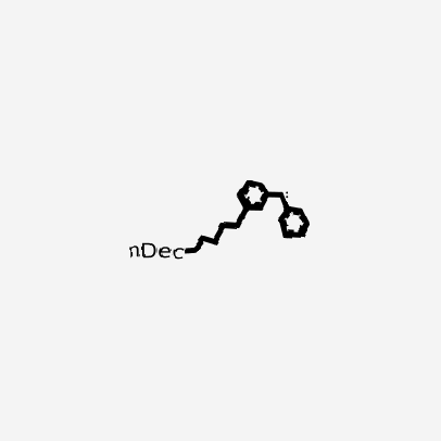 CCCCCCCCCCCCCCCc1cccc([C]c2ccccc2)c1